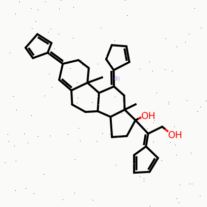 CC12CCC(=C3C=CC=C3)C=C1CCC1C2/C(=C2/C=CCC2)CC2(C)C1CCC2(O)C(CO)=C1C=CC=C1